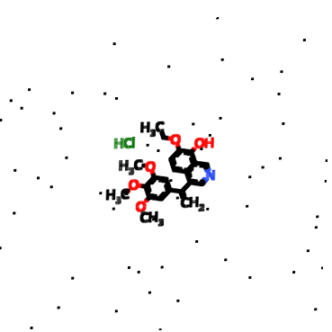 C=C(c1cc(OC)c(OC)c(OC)c1)c1cncc2c(O)c(OCC)ccc12.Cl